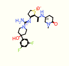 C=C(N[C@H]1CCC(=O)N(C)C1)C1=C(/N=C(\N)N2CCC(O)(c3cc(F)cc(F)c3)CC2)CC[S+]1[O-]